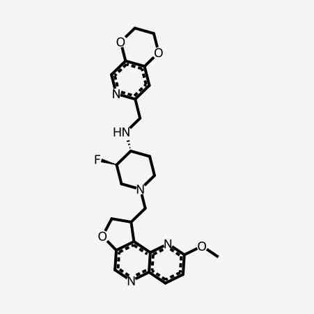 COc1ccc2ncc3c(c2n1)C(CN1CC[C@@H](NCc2cc4c(cn2)OCCO4)[C@H](F)C1)CO3